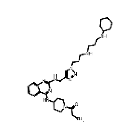 O=C(CP)N1CCC(Nc2nc(NCc3cn(CCCNCCCNC4CCCCC4)nn3)nc3ccccc23)CC1